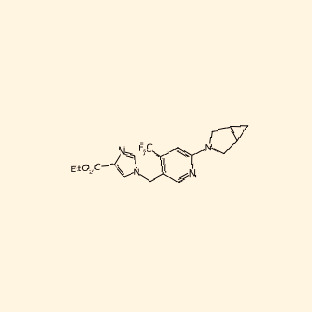 CCOC(=O)c1cn(Cc2cnc(N3CC4CC4C3)cc2C(F)(F)F)cn1